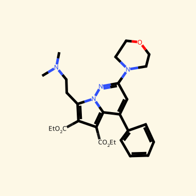 CCOC(=O)c1c(C(=O)OCC)c2c(-c3ccccc3)cc(N3CCOCC3)nn2c1CCN(C)C